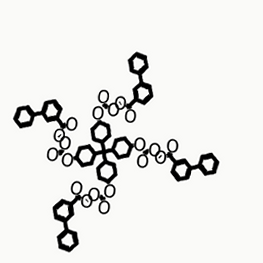 O=C(OOC(=O)c1cccc(-c2ccccc2)c1)OC1CCC(C(C2CCC(OC(=O)OOC(=O)c3cccc(-c4ccccc4)c3)CC2)(C2CCC(OC(=O)OOC(=O)c3cccc(-c4ccccc4)c3)CC2)C2CCC(OC(=O)OOC(=O)c3cccc(-c4ccccc4)c3)CC2)CC1